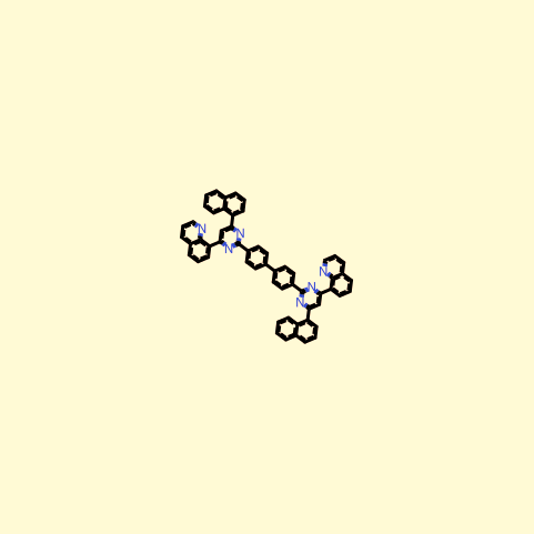 c1ccc2c(-c3cc(-c4cccc5cccnc45)nc(-c4ccc(-c5ccc(-c6nc(-c7cccc8ccccc78)cc(-c7cccc8cccnc78)n6)cc5)cc4)n3)cccc2c1